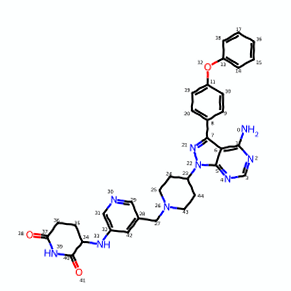 Nc1ncnc2c1c(-c1ccc(Oc3ccccc3)cc1)nn2C1CCN(Cc2cncc(NC3CCC(=O)NC3=O)c2)CC1